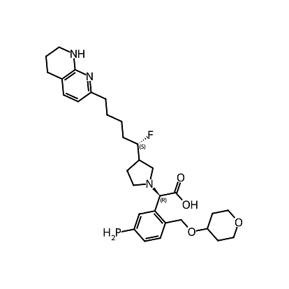 O=C(O)[C@@H](c1cc(P)ccc1COC1CCOCC1)N1CCC([C@@H](F)CCCCc2ccc3c(n2)NCCC3)C1